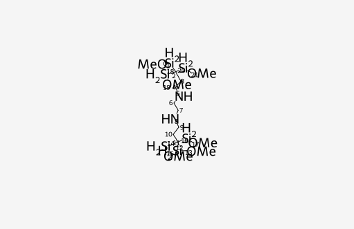 CO[SiH2]C(CCNCCNCCC([SiH2]OC)([SiH2]OC)[SiH2]OC)([SiH2]OC)[SiH2]OC